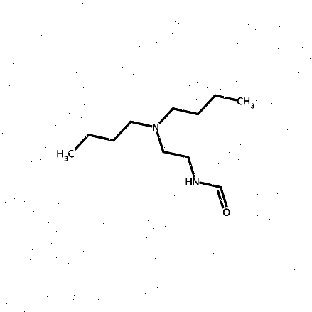 CCCCN(CCCC)CCNC=O